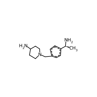 C[C@H](N)c1ccc(CN2CCC(N)CC2)cc1